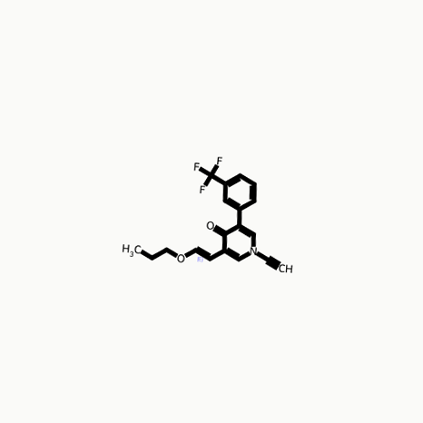 C#Cn1cc(/C=C/OCCC)c(=O)c(-c2cccc(C(F)(F)F)c2)c1